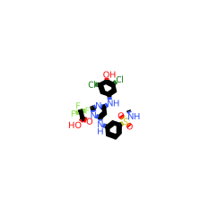 CNS(=O)(=O)c1cccc(Nc2cc(Nc3cc(Cl)c(O)c(Cl)c3)ncn2)c1.O=C(O)C(F)(F)F